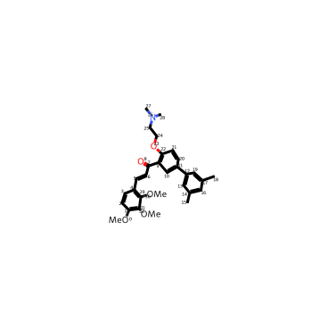 COc1ccc(C=CC(=O)c2cc(-c3cc(C)cc(C)c3)ccc2OCCN(C)C)c(OC)c1OC